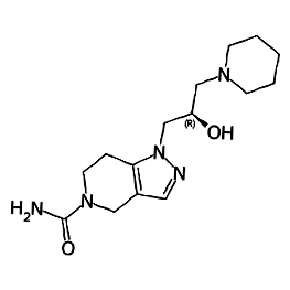 NC(=O)N1CCc2c(cnn2C[C@H](O)CN2CCCCC2)C1